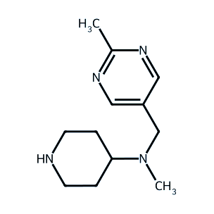 Cc1ncc(CN(C)C2CCNCC2)cn1